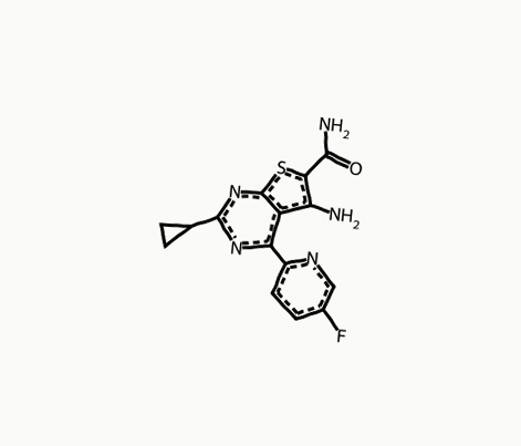 NC(=O)c1sc2nc(C3CC3)nc(-c3ccc(F)cn3)c2c1N